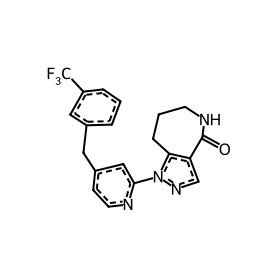 O=C1NCCCc2c1cnn2-c1cc(Cc2cccc(C(F)(F)F)c2)ccn1